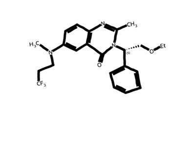 CCOC[C@H](c1ccccc1)n1c(C)nc2ccc(N(C)CCC(F)(F)F)cc2c1=O